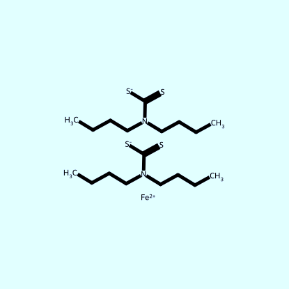 CCCCN(CCCC)C(=S)[S-].CCCCN(CCCC)C(=S)[S-].[Fe+2]